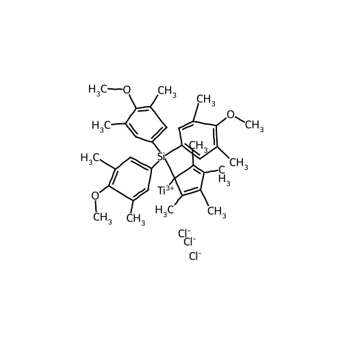 COc1c(C)cc([Si](c2cc(C)c(OC)c(C)c2)(c2cc(C)c(OC)c(C)c2)[C]2([Ti+3])C(C)=C(C)C(C)=C2C)cc1C.[Cl-].[Cl-].[Cl-]